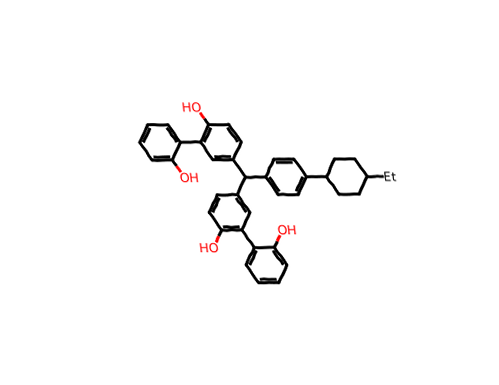 CCC1CCC(c2ccc(C(c3ccc(O)c(-c4ccccc4O)c3)c3ccc(O)c(-c4ccccc4O)c3)cc2)CC1